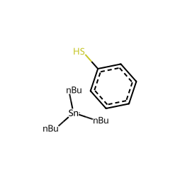 CCC[CH2][Sn]([CH2]CCC)[CH2]CCC.Sc1ccccc1